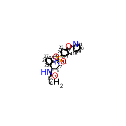 C=CC(=O)NC1CCN(S(=O)(=O)c2ccc(Oc3ccccn3)cc2)c2ccccc21